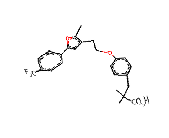 Cc1oc(-c2ccc(C(F)(F)F)cc2)cc1CCOc1ccc(CC(C)(C)C(=O)O)cc1